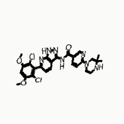 COc1cc(OC)c(Cl)c(-c2ccc3c(NC(=O)c4ccc(N5CCNC(C)(C)C5)nc4)n[nH]c3n2)c1Cl